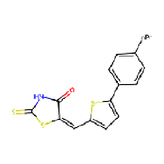 CCCc1ccc(-c2ccc(C=C3SC(=S)NC3=O)s2)cc1